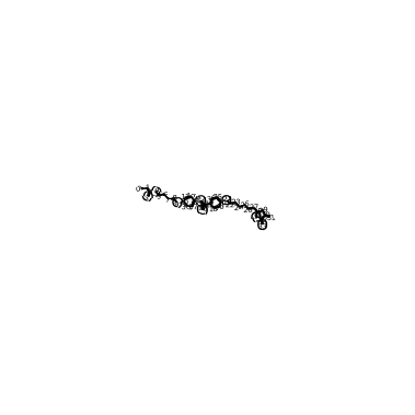 C=CC(=O)OCCCCOc1ccc(OC(=O)c2ccc(OCCCCCCC3CC(=C)C(=O)O3)cc2)cc1